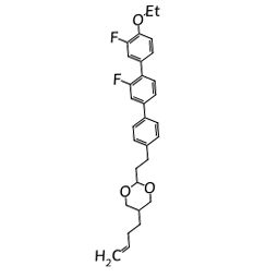 C=CCCC1COC(CCc2ccc(-c3ccc(-c4ccc(OCC)c(F)c4)c(F)c3)cc2)OC1